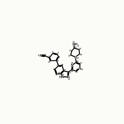 N#Cc1cccc(-c2ccc3[nH]nc(-c4cncc(N5CCC(N)CC5)n4)c3c2)c1